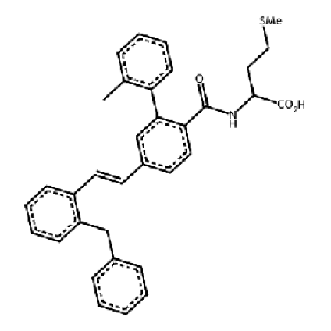 CSCCC(NC(=O)c1ccc(/C=C/c2ccccc2Cc2ccccc2)cc1-c1ccccc1C)C(=O)O